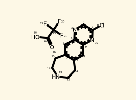 Clc1cnc2cc3c(cc2n1)CCNCC3.O=C(O)C(F)(F)F